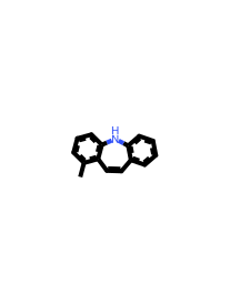 Cc1cccc2c1C=Cc1ccccc1N2